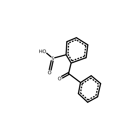 O=C(c1ccccc1)c1ccccc1S(=O)O